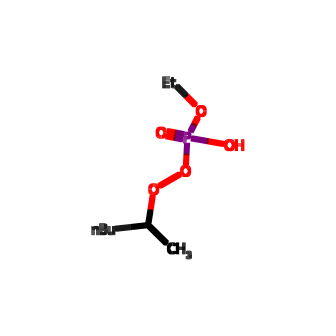 CCCCC(C)OOP(=O)(O)OCC